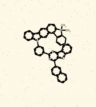 C[Si]1(C)C2=C(C=CCC2)c2c1ccc1cc3c4ccccc4n(-c4cccc(-c5nc(-c6ccc7ccccc7c6)c6oc7ccccc7c6n5)c4)c3cc21